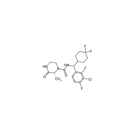 C[C@@H]1C(=O)NCCN1C(=O)NC(c1ccc(F)c(Cl)c1F)C1CCC(F)(F)CC1